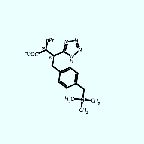 CCC[C@H](C(=O)[O-])[C@H](Cc1ccc(C[N+](C)(C)C)cc1)c1nnn[nH]1